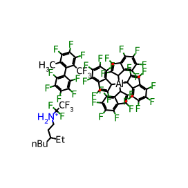 CCCCC(CC)CC[NH2+]C(F)(F)C(F)(F)F.Cc1c(F)c(F)c(F)c(C(F)(F)F)c1-c1c(F)c(F)c(F)c(F)c1F.FC1=C(F)[CH]([Al-]([CH]2C(F)=C(F)c3c(F)c(F)c(F)c(F)c32)([CH]2C(F)=C(F)c3c(F)c(F)c(F)c(F)c32)[CH]2C(F)=C(F)c3c(F)c(F)c(F)c(F)c32)c2c(F)c(F)c(F)c(F)c21